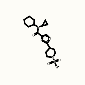 CC(C)S(=O)(=O)N1CCC(c2nc(C(=O)N(C3CCCCC3)C3CC3)cs2)CC1